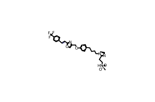 CS(=O)(=O)NCCc1nccn1CCCCc1ccc(OCc2coc(/C=C/c3ccc(C(F)(F)F)cc3)n2)cc1